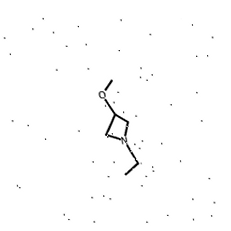 C[CH]N1CC(OC)C1